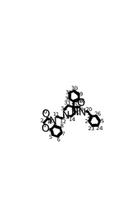 O=C1COc2ccccc2N1CCN1CCC(C(=O)NCc2ccccc2)(c2ccccc2)CC1